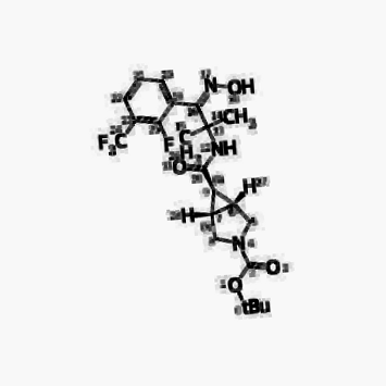 CC(C)(C)OC(=O)N1C[C@@H]2[C@H](C1)[C@H]2C(=O)NC(C)(C)C(=NO)c1cccc(C(F)(F)F)c1F